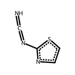 N=C=Nc1nccs1